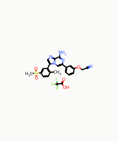 Cc1ccc(S(C)(=O)=O)cc1-c1cnc2c(N)nc(-c3cccc(OCC#N)c3)cn12.O=C(O)C(F)(F)F